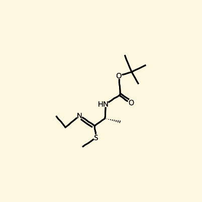 CC/N=C(\SC)[C@@H](C)NC(=O)OC(C)(C)C